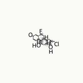 C[C@]12C[C@H](O)[C@H]3[C@@H](C[C@H](F)C4=CC(=O)C=C[C@@]43C)[C@@H]1C[C@@H](CCl)[C@H]2O